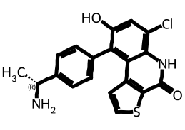 C[C@@H](N)c1ccc(-c2c(O)cc(Cl)c3[nH]c(=O)c4sccc4c23)cc1